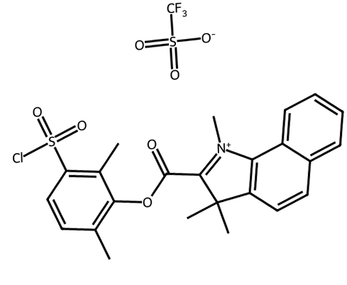 Cc1ccc(S(=O)(=O)Cl)c(C)c1OC(=O)C1=[N+](C)c2c(ccc3ccccc23)C1(C)C.O=S(=O)([O-])C(F)(F)F